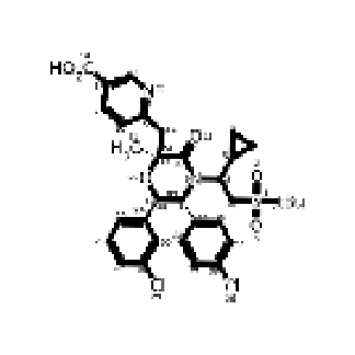 CC(C)(C)S(=O)(=O)CC(C1CC1)N1C(=O)[C@](C)(Cc2ccc(C(=O)O)cn2)O[C@H](c2cccc(Cl)c2)[C@H]1c1ccc(Cl)cc1